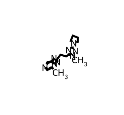 Cc1cncc2nc(CCc3nc(N4CCCC4)nn3C)nn12